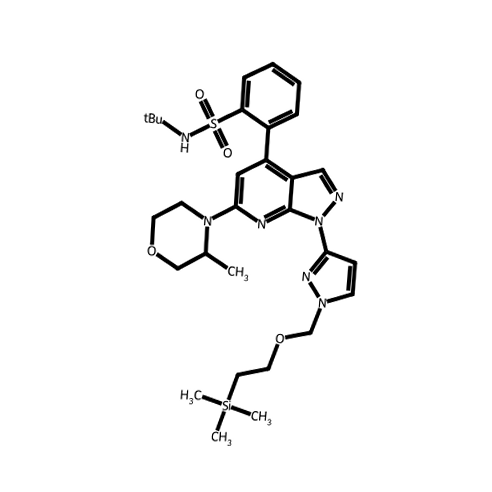 CC1COCCN1c1cc(-c2ccccc2S(=O)(=O)NC(C)(C)C)c2cnn(-c3ccn(COCC[Si](C)(C)C)n3)c2n1